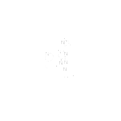 CC[C@@H]1[C@@H](C)OCCN1c1nc2nc(-c3nnco3)nc(-c3cncc(Cl)c3)c2n1C[C@H]1CC[C@H](C)CC1